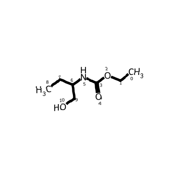 CCOC(=O)NC(CC)CO